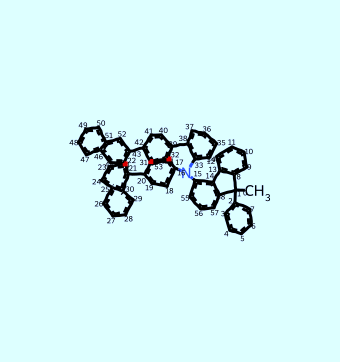 CC1(c2ccccc2)c2ccccc2-c2c(N(c3ccc(-c4cccc5ccccc45)cc3)c3ccccc3-c3ccc(-c4ccc5ccccc5c4)cc3)cccc21